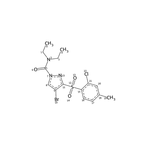 CCN(CC)C(=O)n1cc(Br)c(S(=O)(=O)c2ccc(C)cc2Cl)n1